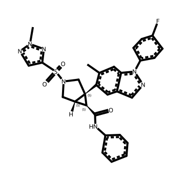 Cc1cc2c(cnn2-c2ccc(F)cc2)cc1[C@]12CN(S(=O)(=O)c3cnn(C)n3)C[C@H]1[C@@H]2C(=O)Nc1ccccc1